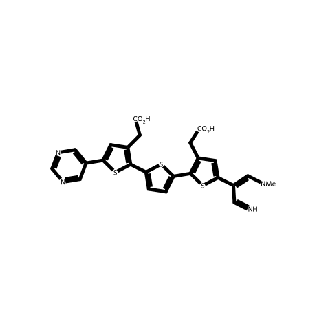 CN/C=C(\C=N)c1cc(CC(=O)O)c(-c2ccc(-c3sc(-c4cncnc4)cc3CC(=O)O)s2)s1